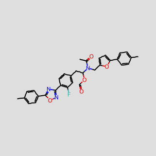 CC(=O)N(Cc1ccc(-c2ccc(C)cc2)o1)C(Cc1ccc(-c2noc(-c3ccc(C)cc3)n2)c(F)c1)OC=O